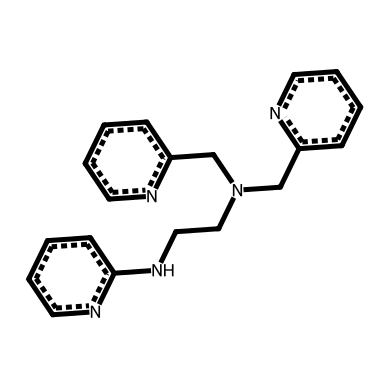 c1ccc(CN(CCNc2ccccn2)Cc2ccccn2)nc1